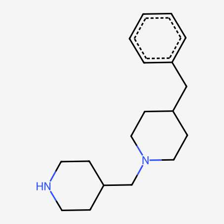 c1ccc(CC2CCN(CC3CCNCC3)CC2)cc1